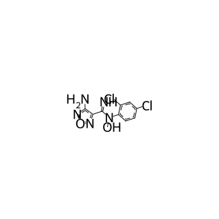 N=C(c1nonc1N)N(O)c1ccc(Cl)cc1Cl